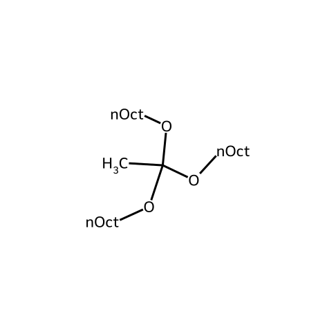 CCCCCCCCOC(C)(OCCCCCCCC)OCCCCCCCC